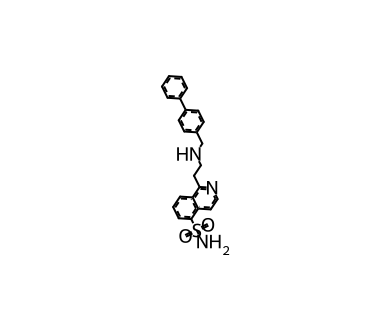 NS(=O)(=O)c1cccc2c(CCNCc3ccc(-c4ccccc4)cc3)nccc12